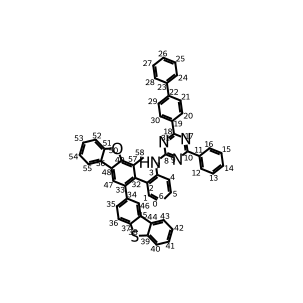 C=C/C(=C(\C=C/C)Nc1nc(-c2ccccc2)nc(-c2ccc(-c3ccccc3)cc2)n1)c1c(-c2ccc3sc4ccccc4c3c2)cc2c(oc3ccccc32)c1C